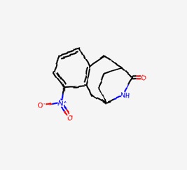 O=C1NC2CCC1Cc1cccc([N+](=O)[O-])c1C2